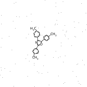 Cc1ccc(-c2nc(-c3ccc(C)cc3)c(-c3ccc(C)cc3)o2)cc1